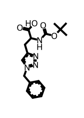 CC(C)(C)OC(=O)NC(Cc1cn(Cc2ccccc2)nn1)C(=O)O